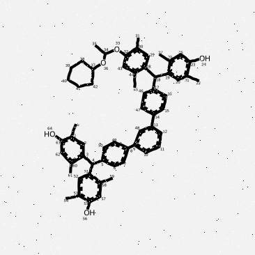 Cc1cc(C(c2ccc(-c3cccc(-c4ccc(C(c5cc(C)c(O)cc5C)c5cc(C)c(OC(C)OC6CCCCC6)cc5C)cc4)c3)cc2)c2cc(C)c(O)cc2C)c(C)cc1O